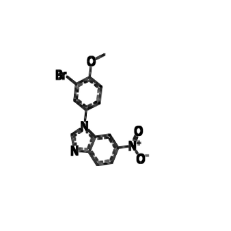 COc1ccc(-n2cnc3ccc([N+](=O)[O-])cc32)cc1Br